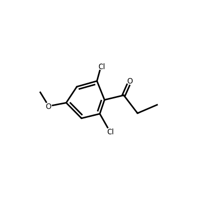 CCC(=O)c1c(Cl)cc(OC)cc1Cl